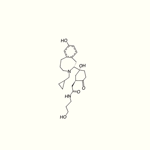 O=C(C[C@H]1C[C@@](O)([C@H]2Cc3ccc(O)cc3CCCN2CC2CC2)CCC1=O)NCCCO